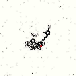 C[C@@H](S[C@H]1CO[C@H](/C=C/C=C/c2ccc(C#N)cc2F)OC1)[C@@](Cn1cncn1)(OC(=O)c1cc(F)ccc1COP(=O)([O-])[O-])c1ccc(F)cc1F.[Na+].[Na+]